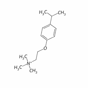 CC(C)c1ccc(OCC[N+](C)(C)C)cc1